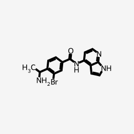 CC(N)c1ccc(C(=O)Nc2ccnc3[nH]ccc23)cc1Br